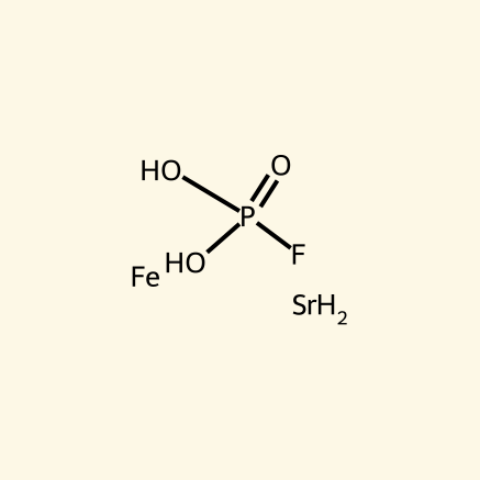 O=P(O)(O)F.[Fe].[SrH2]